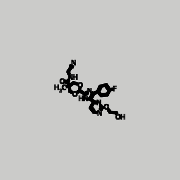 CC1(C(=O)NCC#N)COC(c2nc(-c3ccc(F)cc3)c(-c3ccnc(OCCO)n3)[nH]2)OC1